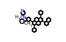 CC12CCCCC1(C)N(c1ccncc1)c1ccc(-c3cc(-c4ccccc4)c4ccc5c(-c6cccc7ccccc67)cc(-c6ccccc6)c6ccc3c4c65)cc12